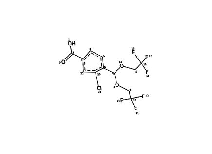 O=C(O)c1ccc(C(OCC(F)(F)F)OCC(F)(F)F)c(Cl)c1